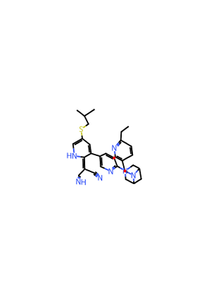 CCc1ccc(CN2C3CC2CN(c2ccc(C4=CC(SCC(C)C)=CN/C4=C(/C#N)C=N)cn2)C3)cn1